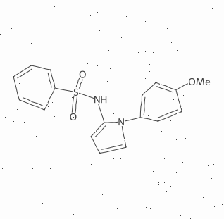 COc1ccc(-n2cccc2NS(=O)(=O)c2ccccc2)cc1